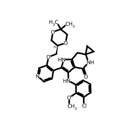 COc1c(Cl)cccc1Nc1c(-c2ccncc2OC[C@H]2COC(C)(C)CO2)[nH]c2c1C(=O)NC1(CC1)C2